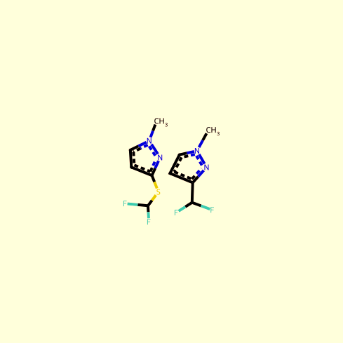 Cn1ccc(C(F)F)n1.Cn1ccc(SC(F)F)n1